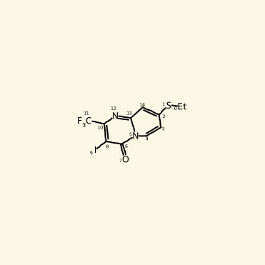 CCSc1ccn2c(=O)c(I)c(C(F)(F)F)nc2c1